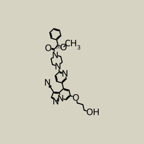 CO[C@H](C(=O)N1CCN(c2ccc(-c3cc(OCCCO)cn4ncc(C#N)c34)cn2)CC1)c1ccccc1